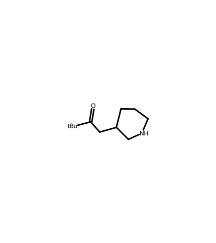 CC(C)(C)C(=O)CC1CCCNC1